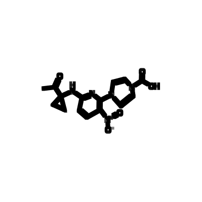 CC(=O)C1(Nc2ccc([N+](=O)[O-])c(N3C=CN(C(=O)O)C=C3)n2)CC1